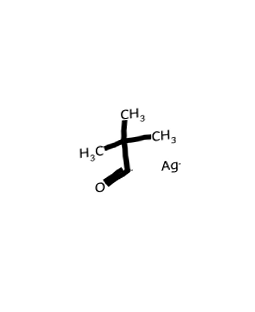 CC(C)(C)[C]=O.[Ag]